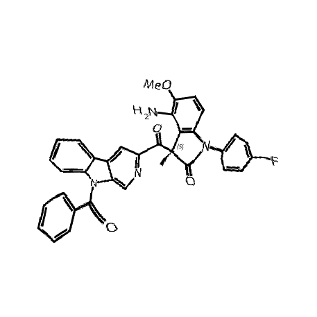 COc1ccc2c(c1N)[C@@](C)(C(=O)c1cc3c4ccccc4n(C(=O)c4ccccc4)c3cn1)C(=O)N2c1ccc(F)cc1